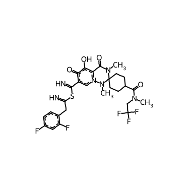 CN(CC(F)(F)F)C(=O)C1CCC2(CC1)N(C)C(=O)c1c(O)c(=O)c(C(=N)SC(=N)Cc3ccc(F)cc3F)cn1N2C